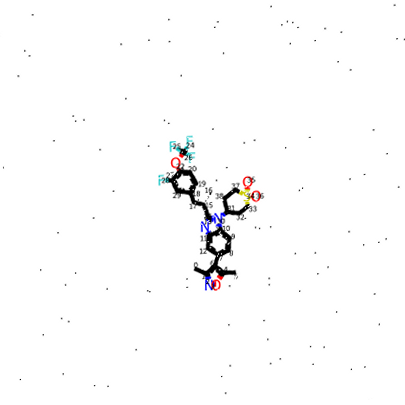 Cc1noc(C)c1-c1ccc2c(c1)nc([C@@H](C)Cc1ccc(OC(F)(F)F)c(F)c1)n2C1CCS(=O)(=O)CC1